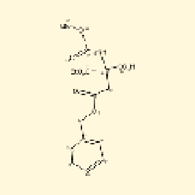 CCOC(=O)[C@](CC(=O)OCc1ccccc1)(NC(=O)OC(C)(C)C)C(=O)O